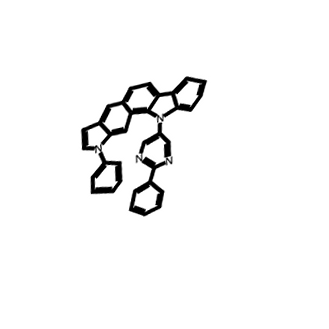 c1ccc(-c2ncc(-n3c4ccccc4c4ccc5cc6ccn(-c7ccccc7)c6cc5c43)cn2)cc1